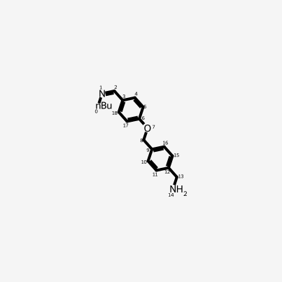 CCCC/N=C\c1ccc(OCc2ccc(CN)cc2)cc1